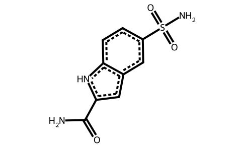 NC(=O)c1cc2cc(S(N)(=O)=O)ccc2[nH]1